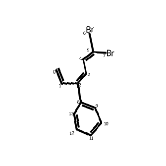 C=C/C(=C\C=C(Br)Br)c1ccccc1